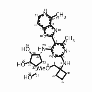 COCC1(Nc2nc(C)c(-c3nc4c(C)nccc4s3)c(N[C@@H]3C[C@H](CO)[C@@H](O)[C@H]3O)n2)CCC1